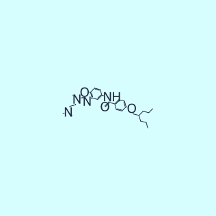 CCCC(CCC)COc1ccc(C(=O)Nc2ccc3oc(N(C)CCN(C)C)nc3c2)cc1